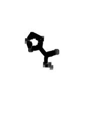 NC(=O)c1ncno1